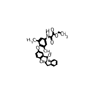 CCOC(=O)C(=O)Nc1cc(C)c(Oc2ccc(O)c(C(=O)N3CCc4ccccc43)c2)c(C)c1